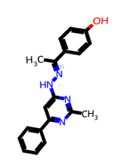 C/C(=N\Nc1cc(-c2ccccc2)nc(C)n1)c1ccc(O)cc1